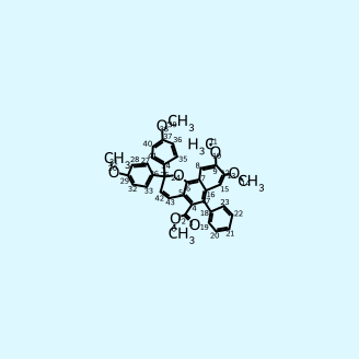 COC(=O)c1c2c(c3cc(OC)c(OC)cc3c1-c1ccccc1)OC(c1ccc(OC)cc1)(c1ccc(OC)cc1)C=C2